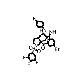 CCc1ccnc(C(=O)[C@]23CC(C=N)=C(Nc4ccc(F)cc4)C=C2CCN(S(=O)(=O)c2cc(F)c(F)c(F)c2)C3)c1